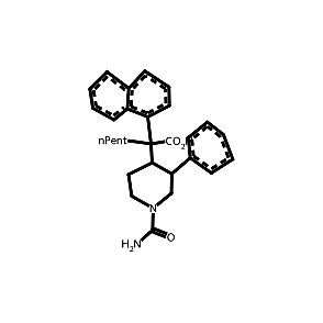 CCCCCC(C(=O)O)(c1cccc2ccccc12)C1CCN(C(N)=O)CC1c1ccccc1